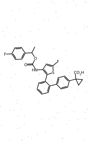 CC(OC(=O)Nc1cc(F)sc1-c1ccccc1-c1ccc(C2(C(=O)O)CC2)cc1)c1ccc(F)cc1